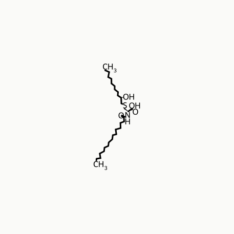 CCCCCCCCCCCCCCCC(=O)N[C@@H](CSC[C@@H](O)CCCCCCCCCC)C(=O)O